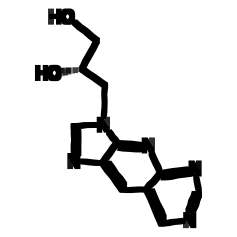 OC[C@@H](O)Cn1cnc2cc3cncnc3nc21